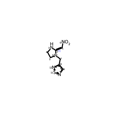 O=[N+]([O-])/C=C1\NCCN1Cc1cnsn1